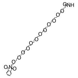 CNC(=O)CCOCCOCCOCCOCCOCCOCCOCCOCCOCCOCCOCCOCCN1C(=O)c2ccccc2C1=O